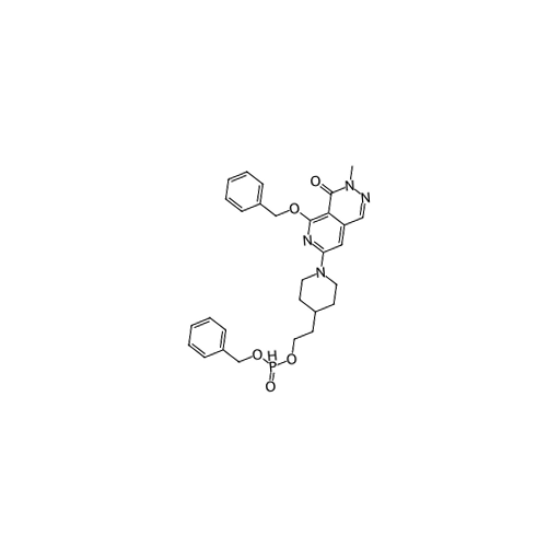 Cn1ncc2cc(N3CCC(CCO[PH](=O)OCc4ccccc4)CC3)nc(OCc3ccccc3)c2c1=O